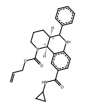 C=CCOC(=O)N1CCC[C@H]2C(c3ccccc3)Nc3ccc(C(=O)NC4CC4)cc3[C@H]21